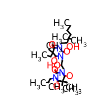 CCCCC(C)(C)C(O)CN1C(=O)N(CC(O)CN2C(=O)N(CC(C)C)C(=O)C(CC)(CC)C2=O)C(=O)C(CC)(CC)C1=O